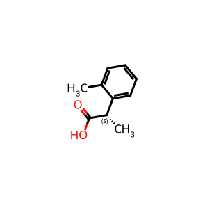 Cc1ccccc1[C@H](C)C(=O)O